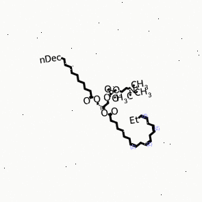 CC/C=C\C/C=C\C/C=C\C/C=C\CCCCCCC(=O)O[C@H](COC(=O)CCCCCCCCCCCCCCCCCCC)COP(=O)([O-])OCC[N+](C)(C)C